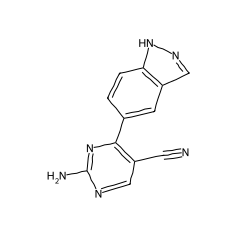 N#Cc1cnc(N)nc1-c1ccc2[nH]ncc2c1